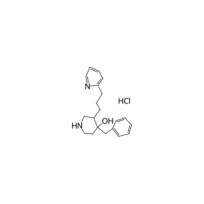 Cl.OC1(Cc2ccccc2)CCNCC1CCCc1ccccn1